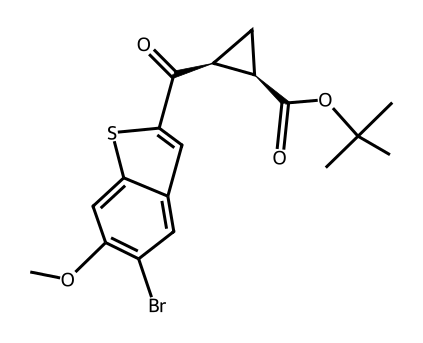 COc1cc2sc(C(=O)[C@H]3C[C@H]3C(=O)OC(C)(C)C)cc2cc1Br